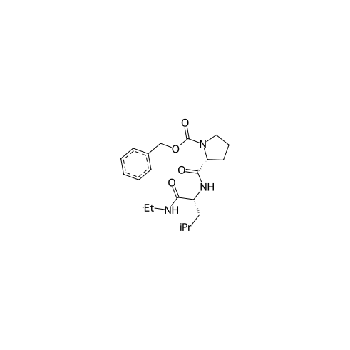 C[CH]NC(=O)[C@@H](CC(C)C)NC(=O)[C@H]1CCCN1C(=O)OCc1ccccc1